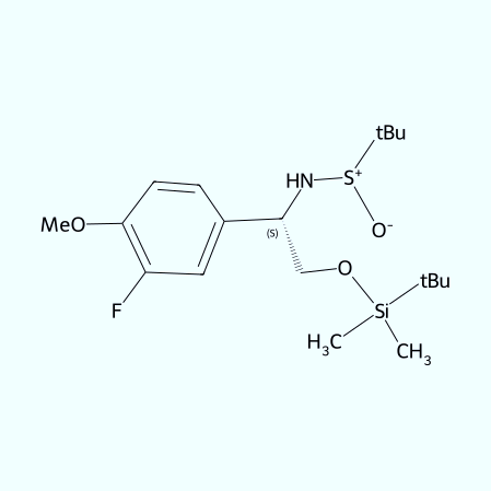 COc1ccc([C@@H](CO[Si](C)(C)C(C)(C)C)N[S+]([O-])C(C)(C)C)cc1F